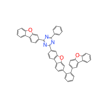 c1ccc(-c2nc(-c3ccc4c(c3)oc3ccccc34)nc(-c3ccc4c(c3)oc3cc(-c5ccccc5-c5ccc6oc7ccccc7c6c5)ccc34)n2)cc1